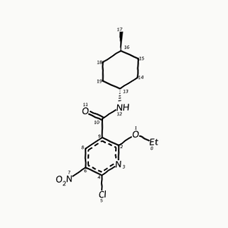 CCOc1nc(Cl)c([N+](=O)[O-])cc1C(=O)N[C@H]1CC[C@H](C)CC1